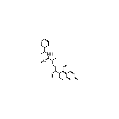 C=C=C(NC(C)C1C=CC=CC1)/C(C)=C/C=C(C=C)/C(=C/C)C(/C=C)=C(C=C)/C=C\C=C